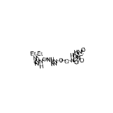 CCC(CC)c1cc(N[C@H]2CC[C@H](NCc3cn(CCOCCOCCNc4cccc5c4C(=O)N(C4CCC(=O)NC4=O)C5=O)nn3)C2)n2nccc2n1